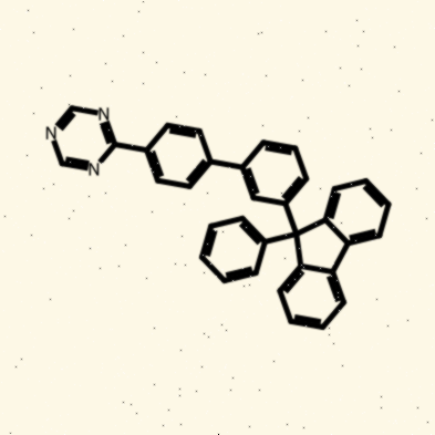 c1ccc(C2(c3cccc(-c4ccc(-c5ncncn5)cc4)c3)c3ccccc3-c3ccccc32)cc1